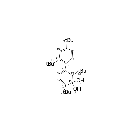 CC(C)(C)C1=CC=C(c2ccc(C(C)(C)C)cc2C(C)(C)C)C(C(C)(C)C)C1(O)O